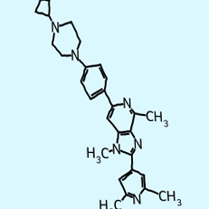 Cc1cc(-c2nc3c(C)nc(-c4ccc(N5CCN(C6CCC6)CC5)cc4)cc3n2C)cc(C)n1